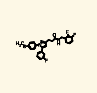 COc1ccc(-n2nc(CCC(=O)NCc3cccc(F)c3F)cc2-c2cccc(F)c2)cc1